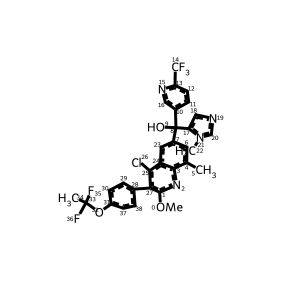 COc1nc2c(C)cc(C(O)(c3ccc(C(F)(F)F)nc3)c3cncn3C)cc2c(Cl)c1-c1ccc(OC(C)(F)F)cc1